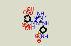 Nc1nc(Nc2ccc(N[SH](=O)=O)cc2)nc(Nc2cc(S(=O)(=O)O)ccc2S(=O)(=O)O)n1